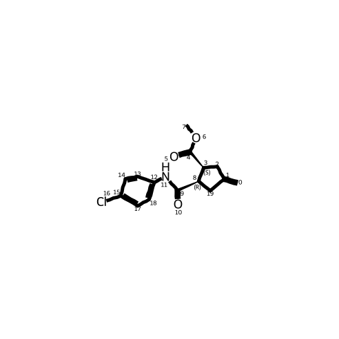 C=C1C[C@H](C(=O)OC)[C@H](C(=O)Nc2ccc(Cl)cc2)C1